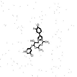 CCOCC(C)OC(SC1=CNCC(Cl)=C1)[C@@H](O)Cn1cc(-c2ccc(Cl)c(F)c2)cn1